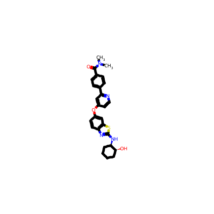 CN(C)C(=O)c1ccc(-c2cc(Oc3ccc4nc(N[C@@H]5CCCC[C@H]5O)sc4c3)ccn2)cc1